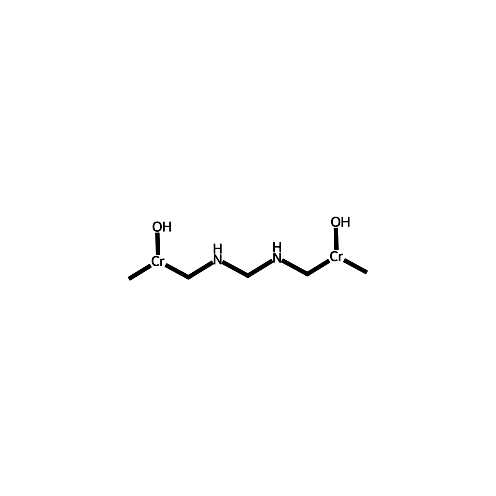 [CH3][Cr]([OH])[CH2]NCN[CH2][Cr]([CH3])[OH]